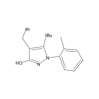 Cc1ccccc1-n1nc(O)c(CC(C)C)c1C(C)(C)C